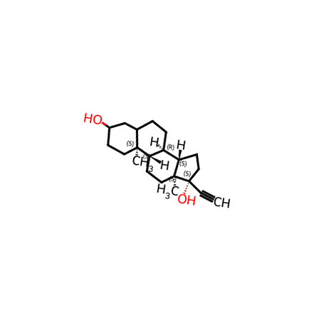 C#C[C@]1(O)CC[C@H]2[C@@H]3CCC4CC(O)CC[C@]4(C)[C@H]3CC[C@@]21C